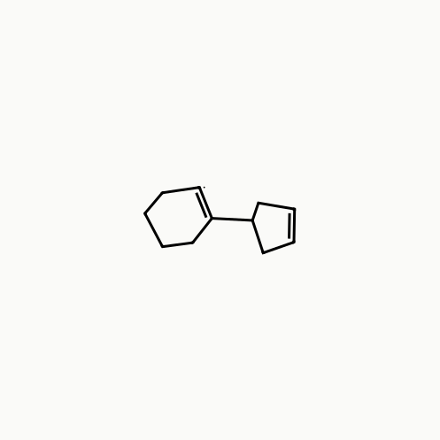 [C]1=C(C2CC=CC2)CCCC1